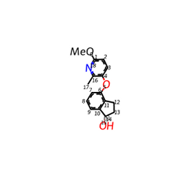 COc1ccc(Oc2cccc3c2CC[C@@H]3O)c(C)n1